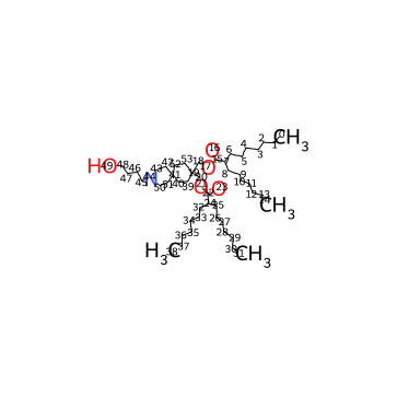 CCCCCCCC(CCCCCCC)C(=O)OCC1(COC(=O)C(CCCCCCC)CCCCCCC)CCC2(CCN(CCCCO)CC2)CC1